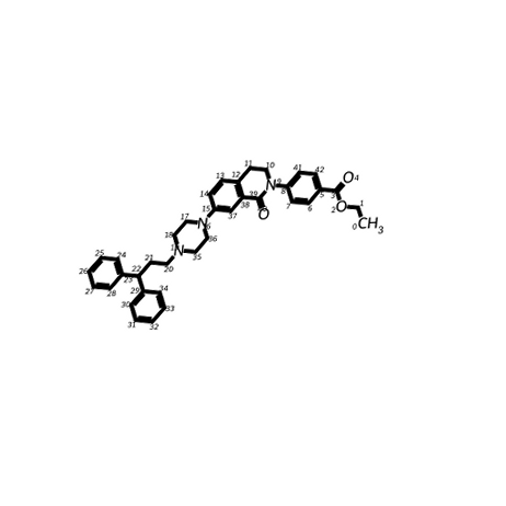 CCOC(=O)c1ccc(N2CCc3ccc(N4CCN(CCC(c5ccccc5)c5ccccc5)CC4)cc3C2=O)cc1